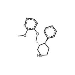 COc1ncccc1OC[C@H]1CNCC[C@@H]1c1ccccc1